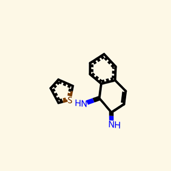 N=C1C=Cc2ccccc2C1=N.c1ccsc1